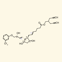 C#CCC(CC#C)COC(=O)CCC/C=C/C[C@@H]1[C@@H](/C=C/[C@@H](O)COc2cccc(C(F)(F)F)c2)[C@H](O)C[C@@H]1O